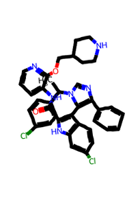 CC(c1ccc(Cl)cc1)n1cnc(-c2ccccc2)c1-c1c(C(=O)Nc2cccnc2OCC2CCNCC2)[nH]c2cc(Cl)ccc12